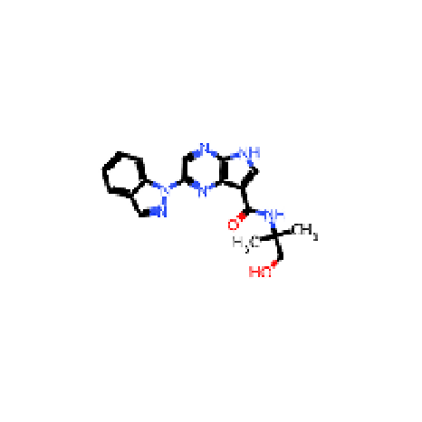 CC(C)(CO)NC(=O)c1c[nH]c2ncc(-n3ncc4ccccc43)nc12